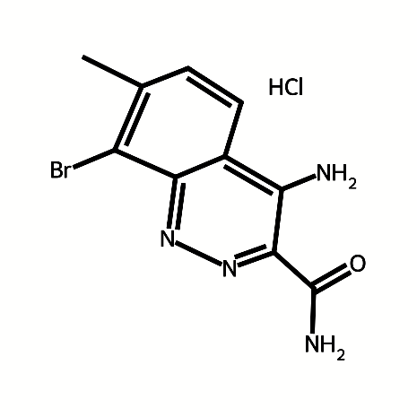 Cc1ccc2c(N)c(C(N)=O)nnc2c1Br.Cl